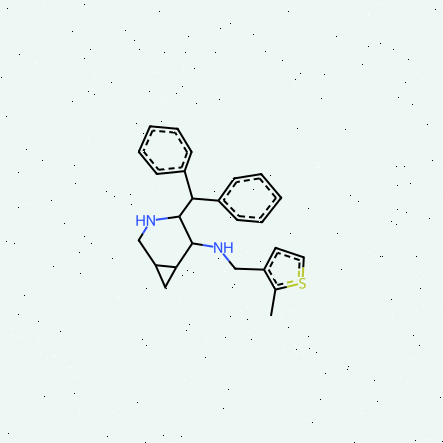 Cc1sccc1CNC1C2CC2CNC1C(c1ccccc1)c1ccccc1